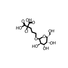 O=C(O)C(Cl)(CCCOC1O[C@H](CO)[C@H](O)[C@H](O)[C@H]1O)C(=O)O